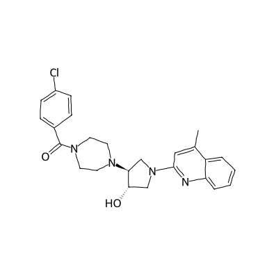 Cc1cc(N2C[C@H](O)[C@@H](N3CCN(C(=O)c4ccc(Cl)cc4)CC3)C2)nc2ccccc12